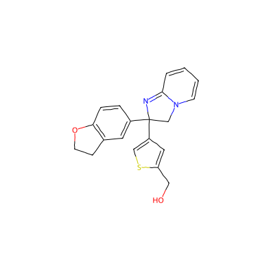 OCc1cc(C2(c3ccc4c(c3)CCO4)CN3C=CC=CC3=N2)cs1